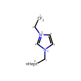 CCCCCCCCn1cc[n+](CC(F)(F)F)c1